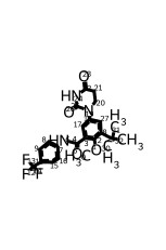 COc1c(C(=O)Nc2ccc(C(F)(F)F)cc2)cc(N2CCC(=O)NC2=O)cc1C(C)(C)C